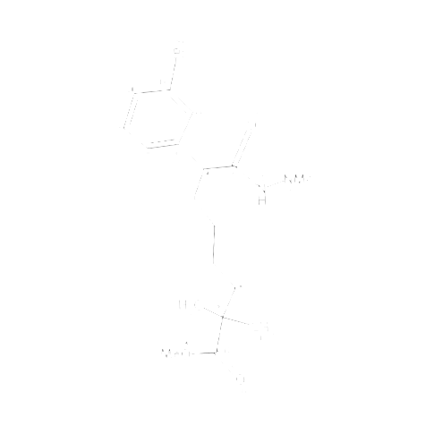 CNNC(=O)C(CCCCC(C)(C)C(=O)OC)c1cccc(Br)c1